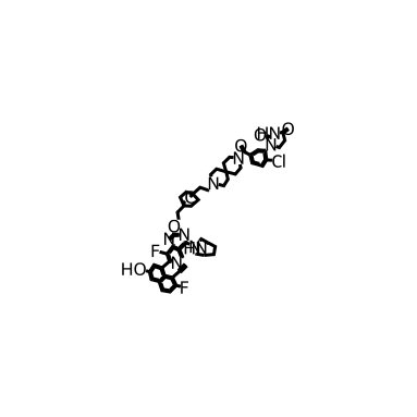 C#Cc1c(F)ccc2cc(O)cc(-c3ncc4c(N5CC6CCC(C5)N6)nc(OCCC56CCC(CCN7CCC8(CC7)CCN(C(=O)c7ccc(Cl)c(N9CCC(=O)NC9=O)c7)CC8)(CC5)CC6)nc4c3F)c12